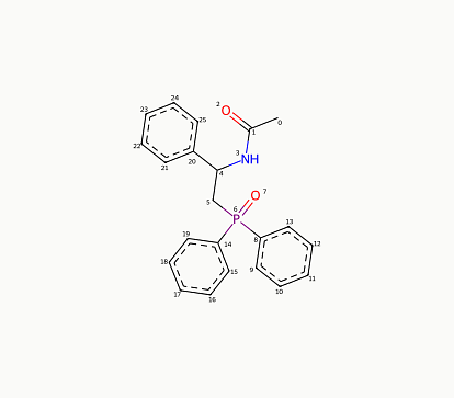 CC(=O)NC(CP(=O)(c1ccccc1)c1ccccc1)c1ccccc1